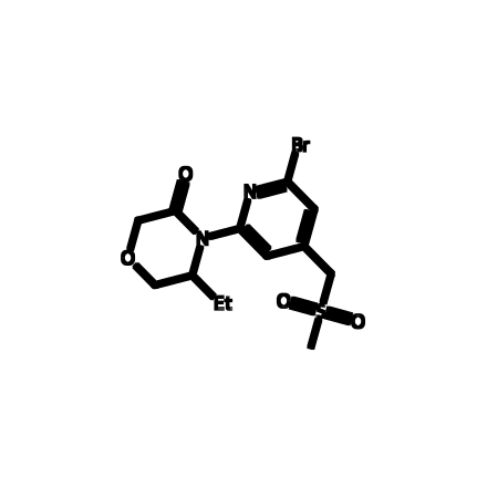 CCC1COCC(=O)N1c1cc(CS(C)(=O)=O)cc(Br)n1